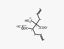 C=CCC(C(=O)[O-])C(CC=C)(C(=O)[O-])S(=O)(=O)O.[K+].[K+]